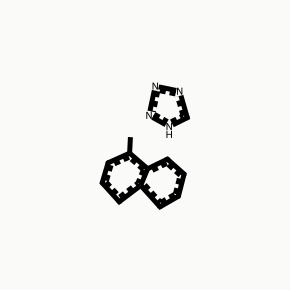 Cc1cccc2ccccc12.c1nnn[nH]1